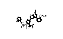 COc1ccccc1-c1c[nH]c2ncc(-c3ccc(NC(=O)OCC4CCCCN4C)c(C(=O)N(C)C)c3)cc12